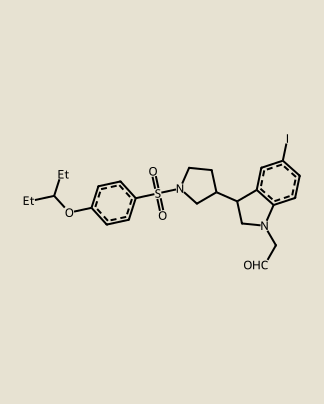 CCC(CC)Oc1ccc(S(=O)(=O)N2CCC(C3CN(CC=O)c4ccc(I)cc43)C2)cc1